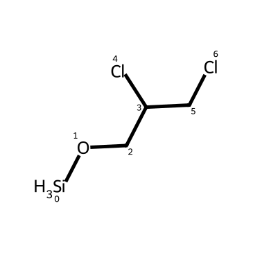 [SiH3]OCC(Cl)CCl